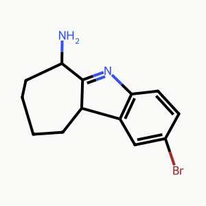 NC1CCCCC2C1=Nc1ccc(Br)cc12